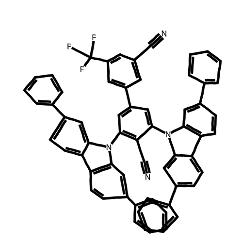 N#Cc1cc(-c2cc(-n3c4cc(-c5ccccc5)ccc4c4ccc(-c5ccccc5)cc43)c(C#N)c(-n3c4cc(-c5ccccc5)ccc4c4ccc(-c5ccccc5)cc43)c2)cc(C(F)(F)F)c1